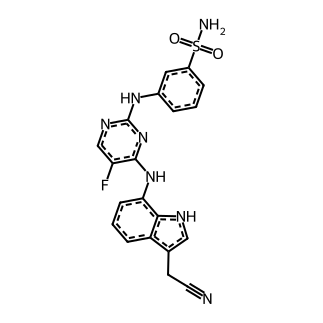 N#CCc1c[nH]c2c(Nc3nc(Nc4cccc(S(N)(=O)=O)c4)ncc3F)cccc12